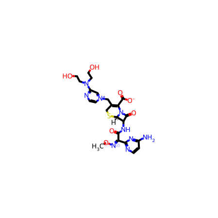 CO/N=C(\C(=O)NC1C(=O)N2C(C(=O)[O-])=C(C[n+]3ccnc(N(CCO)CCO)c3)CS[C@H]12)c1nccc(N)n1